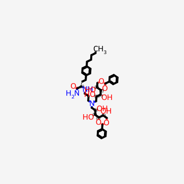 CCCCCc1ccc(CC[C@H](NCCCN(C[C@H](O)[C@@H](O)[C@@H]2OC(c3ccccc3)OC[C@H]2O)C[C@H](O)[C@@H](O)[C@@H]2OC(c3ccccc3)OC[C@H]2O)C(N)=O)cc1